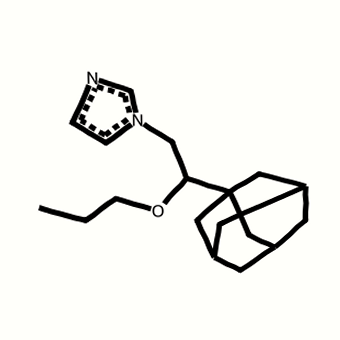 CCCOC(Cn1ccnc1)C12CC3CC(CC(C3)C1)C2